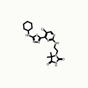 CC1(C)C(=O)NC(=O)N1CCNc1ncc(Cl)c(-c2nnc(NC3CCCCC3)s2)n1